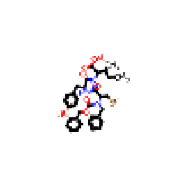 CCC(C)C(NC(=O)C(Cc1ccc(O)cc1)NC(=O)C(CS)N(Cc1ccccc1)C(=O)OCc1ccccc1)C(=O)O